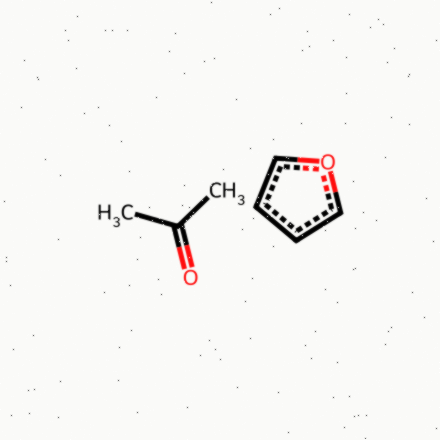 CC(C)=O.c1ccoc1